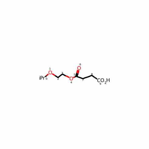 CC(C)OCCOC(=O)CCC(=O)O